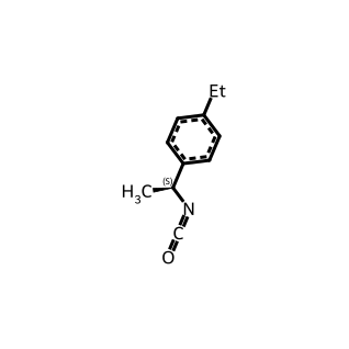 CCc1ccc([C@H](C)N=C=O)cc1